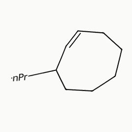 CC[CH]C1/C=C\CCCCC1